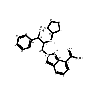 O=C(O)c1cccc2cn(CC(OC3CCCC3)C(O)c3ccccc3)nc12